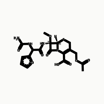 CO[C@]1(NC(=O)C(NC(N)=O)c2ccco2)C(=O)N2C(C(=O)O)=C(COC(C)=O)CS[C@@H]21